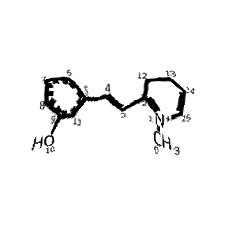 C[N+]1=C(/C=C/c2cccc(O)c2)CCC=C1